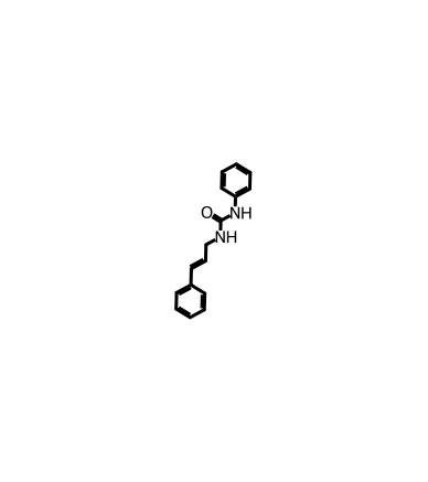 O=C(NCC=Cc1ccccc1)Nc1ccccc1